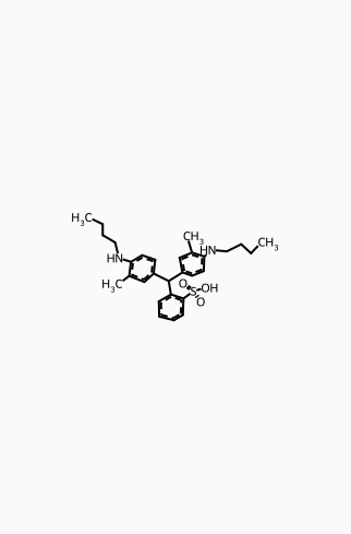 CCCCNc1ccc(C(c2ccc(NCCCC)c(C)c2)c2ccccc2S(=O)(=O)O)cc1C